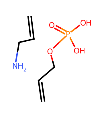 C=CCN.C=CCOP(=O)(O)O